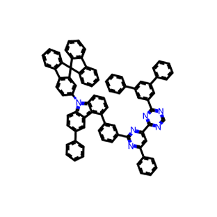 c1ccc(-c2cc(-c3ccccc3)cc(-c3ncnc(-c4cc(-c5ccccc5)nc(-c5cccc(-c6cccc7c6c6cc(-c8ccccc8)ccc6n7-c6ccc7c(c6)C6(c8ccccc8-c8ccccc86)c6ccccc6-7)c5)n4)n3)c2)cc1